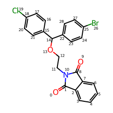 O=C1c2ccccc2C(=O)N1CCOC(c1ccc(Cl)cc1)c1ccc(Br)cc1